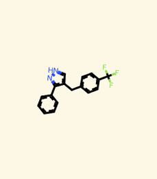 FC(F)(F)c1ccc(Cc2c[nH]nc2-c2ccccc2)cc1